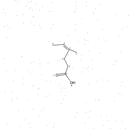 [CH2]C=C(C)CCC(=O)O